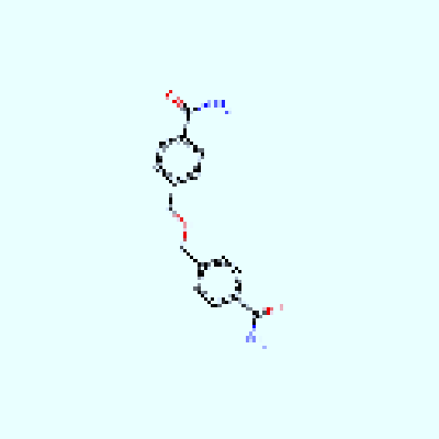 NC(=O)c1ccc(COCc2ccc(C(N)=O)cc2)cc1